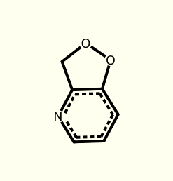 c1cnc2c(c1)OOC2